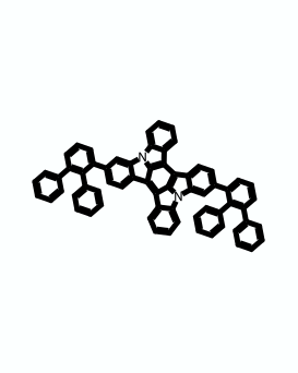 c1ccc(-c2cccc(-c3ccc4c5c6c7ccccc7n7c8cc(-c9cccc(-c%10ccccc%10)c9-c9ccccc9)ccc8c(c8c9ccccc9n(c4c3)c85)c67)c2-c2ccccc2)cc1